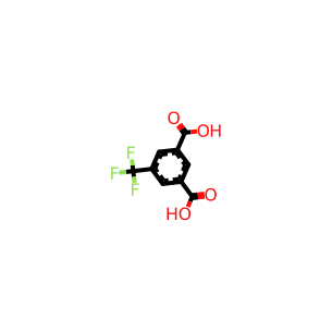 O=C(O)c1cc(C(=O)O)cc(C(F)(F)F)c1